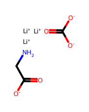 NCC(=O)[O-].O=C([O-])[O-].[Li+].[Li+].[Li+]